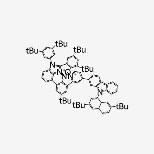 CC(C)(C)C1=CC2C=CC(C(C)(C)C)=CC2C(n2c3ccccc3c3ccc(-c4cc[n+]5c(c4)-c4cc(C(C)(C)C)cc6c4[N+]54Oc5c(cc(C(C)(C)C)cc5C(C)(C)C)-c5n(-c7cc(C(C)(C)C)cc(C(C)(C)C)c7)c7cccc-6c7[n+]54)cc32)=C1